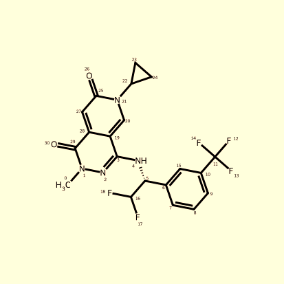 Cn1nc(N[C@H](c2cccc(C(F)(F)F)c2)C(F)F)c2cn(C3CC3)c(=O)cc2c1=O